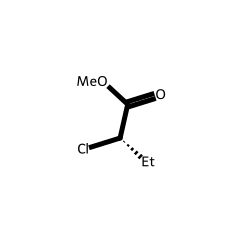 CC[C@H](Cl)C(=O)OC